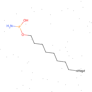 CCCCCCCCCCCCCCCOP(N)O